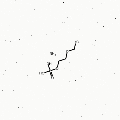 CC(C)(C)COCCOP(=O)(O)O.N